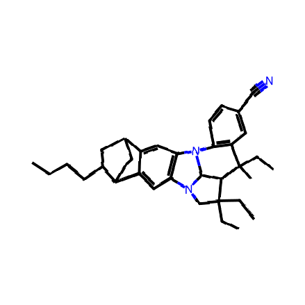 CCCCC1CC2CCC1c1cc3c(cc12)N1c2ccc(C#N)cc2C(C)(CC)C2(C)C1N3CC2(CC)CC